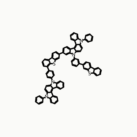 c1ccc(-n2c3ccccc3c3c4c5ccccc5n(-c5ccc(-c6cccc7c6sc6cc(-c8ccc9c%10c%11c%12ccccc%12n(-c%12ccccc%12)c%11ccc%10n(-c%10cccc(-c%11ccc%12c(c%11)sc%11ccccc%11%12)c%10)c9c8)ccc67)cc5)c4ccc32)cc1